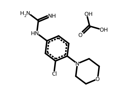 N=C(N)Nc1ccc(N2CCOCC2)c(Cl)c1.O=C(O)O